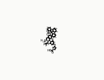 C[C@@H]1Cc2c(ccc3c2oc(=O)n3C(c2ccccc2)(c2ccccc2)c2ccccc2)[C@@H](c2c(F)cc(OC3CCN(C(=O)O)C3)cc2F)N1CC(F)(F)F